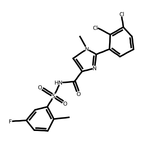 Cc1ccc(F)cc1S(=O)(=O)NC(=O)c1cn(C)c(-c2cccc(Cl)c2Cl)n1